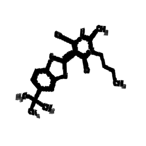 C=c1[nH]c(=O)/c(=C2\Sc3ccc(C(C)(C)C)cc3S2)c(=O)n1CCCC